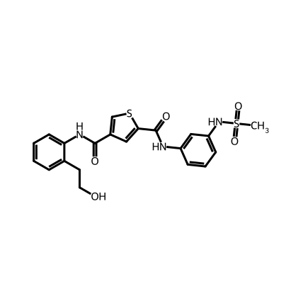 CS(=O)(=O)Nc1cccc(NC(=O)c2cc(C(=O)Nc3ccccc3CCO)cs2)c1